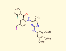 COc1cc(Nc2ncc([N+](=O)[O-])c(Nc3ccc(CI)cc3C(=O)c3ccccc3F)n2)cc(OC)c1OC